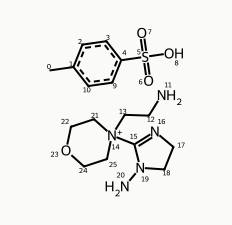 Cc1ccc(S(=O)(=O)O)cc1.NCC[N+]1(C2=NCCN2N)CCOCC1